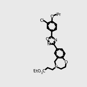 CCOC(=O)CCN1CCOc2ccc(-c3noc(-c4ccc(OC(C)C)c(Cl)c4)n3)cc2C1